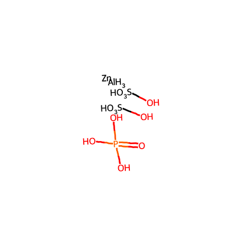 O=P(O)(O)O.O=S(=O)(O)O.O=S(=O)(O)O.[AlH3].[Zn]